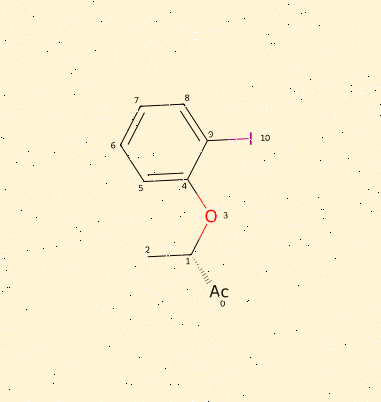 CC(=O)[C@H](C)Oc1ccccc1I